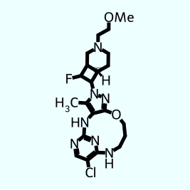 COCCN1CC[C@H]2C(C1)C(F)C2n1nc2c(c1C)Nc1ncc(Cl)c(n1)NCCCO2